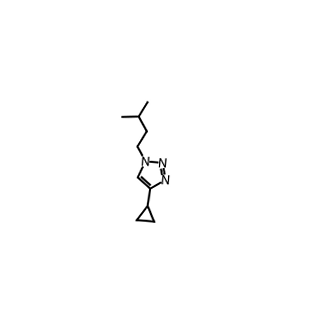 CC(C)CCn1cc(C2CC2)nn1